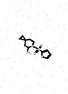 CC1CC2(CCN1S(=O)(=O)c1cccs1)CC2